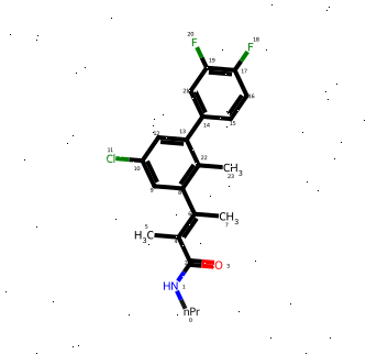 CCCNC(=O)/C(C)=C(\C)c1cc(Cl)cc(-c2ccc(F)c(F)c2)c1C